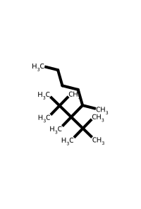 CCCCC(C)C(C)(C(C)(C)C)C(C)(C)C